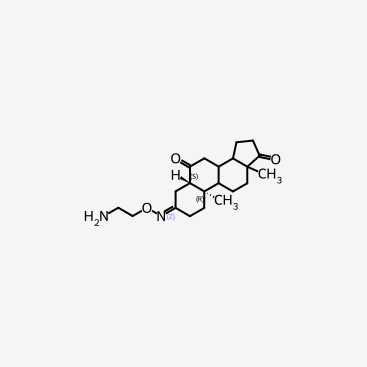 CC12CCC3C(CC(=O)[C@H]4C/C(=N\OCCN)CC[C@]34C)C1CCC2=O